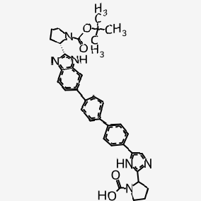 CC(C)(C)OC(=O)N1CCC[C@H]1c1nc2ccc(-c3ccc(-c4ccc(-c5cnc(C6CCCN6C(=O)O)[nH]5)cc4)cc3)cc2[nH]1